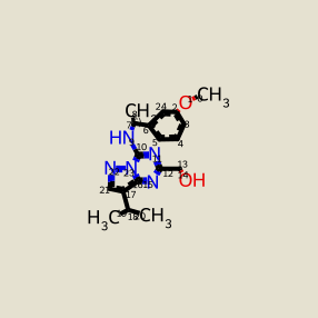 COc1cccc([C@H](C)Nc2nc(CO)nc3c(C(C)C)cnn23)c1